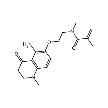 C=C(C)C(=O)N(C)CCOc1ccc2c(c1N)C(=O)CCN2C